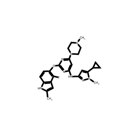 Cc1cc2c(F)c(Oc3nc(Nc4cc(C5CC5)n(C)n4)cc(N4CCN(C)CC4)n3)ccc2[nH]1